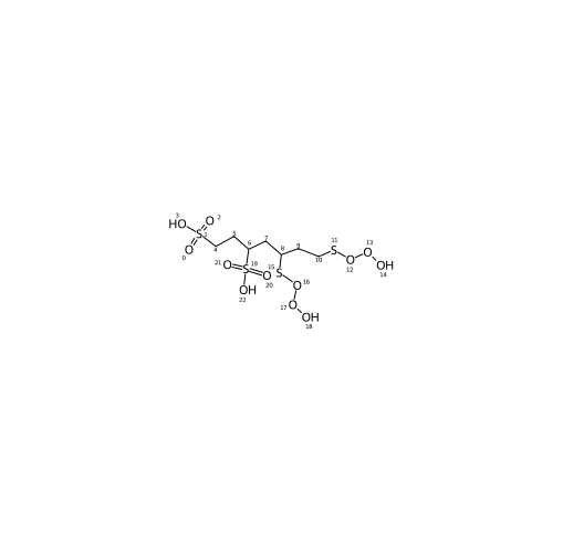 O=S(=O)(O)CCC(CC(CCSOOO)SOOO)S(=O)(=O)O